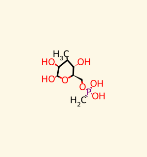 C=P(O)(O)OC[C@H]1O[C@H](O)[C@@H](O)[C@@H](C)[C@@H]1O